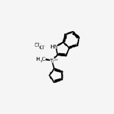 [CH3][Ti+2]([C]1=CC=CC1)[c]1cc2ccccc2[nH]1.[Cl-].[Cl-]